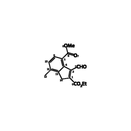 CCOC(=O)C1=C(C=O)c2c(C(=O)OC)ccc(C)c2C1